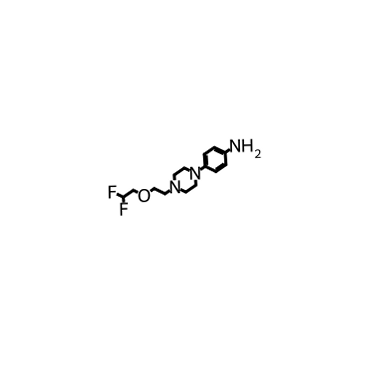 Nc1ccc(N2CCN(CCOCC(F)F)CC2)cc1